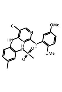 COc1ccc(OC)c(Nc2ncc(Cl)c(Nc3ccc(C)cc3NS(C)(=O)=O)n2)c1